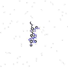 C/C=C\C=C/Cc1cc2c(c(Nc3ccc[nH]3)c1)CC(C1=C3C=CC4=C3C3C(=NC=NC3=N1)N=C4n1cnc3cc(-n4cccc4)cc(Nc4ccc[nH]4)c31)C=N2